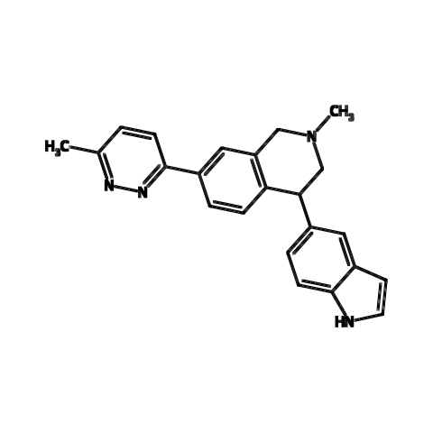 Cc1ccc(-c2ccc3c(c2)CN(C)CC3c2ccc3[nH]ccc3c2)nn1